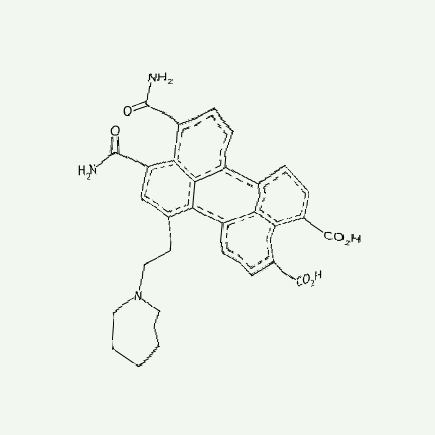 NC(=O)c1ccc2c3ccc(C(=O)O)c4c(C(=O)O)ccc(c5c(CCN6CCCCC6)cc(C(N)=O)c1c25)c43